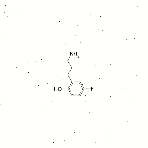 NCCCc1cc(F)ccc1O